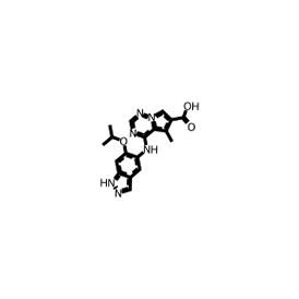 Cc1c(C(=O)O)cn2ncnc(Nc3cc4cn[nH]c4cc3OC(C)C)c12